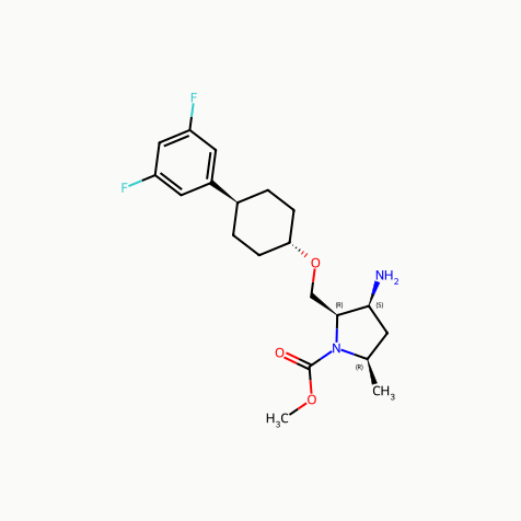 COC(=O)N1[C@H](C)C[C@H](N)[C@@H]1CO[C@H]1CC[C@H](c2cc(F)cc(F)c2)CC1